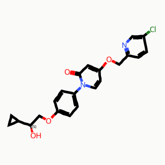 O=c1cc(OCc2ccc(Cl)cn2)ccn1-c1ccc(OC[C@@H](O)C2CC2)cc1